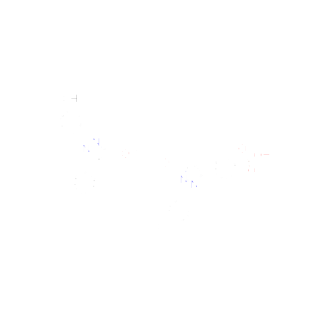 Cc1ccc(Cn2nc(COCCCOCc3nn(Cc4ccc(C)cc4)c4c3Cc3cc(S(=O)(=O)O)ccc3-4)c3c2-c2ccccc2C3)cc1